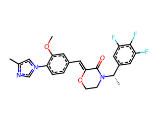 COc1cc(C=C2OCCN([C@@H](C)c3cc(F)c(F)c(F)c3)C2=O)ccc1-n1cnc(C)c1